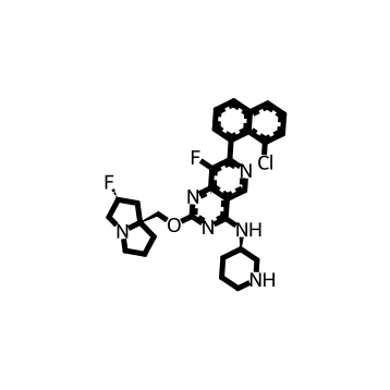 Fc1c(-c2cccc3cccc(Cl)c23)ncc2c(N[C@@H]3CCCNC3)nc(OC[C@@]34CCCN3C[C@H](F)C4)nc12